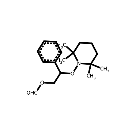 CC1(C)CCCC(C)(C)N1OC(COC=O)c1ccccc1